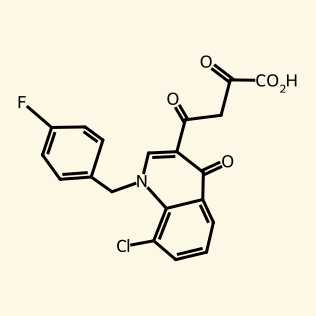 O=C(O)C(=O)CC(=O)c1cn(Cc2ccc(F)cc2)c2c(Cl)cccc2c1=O